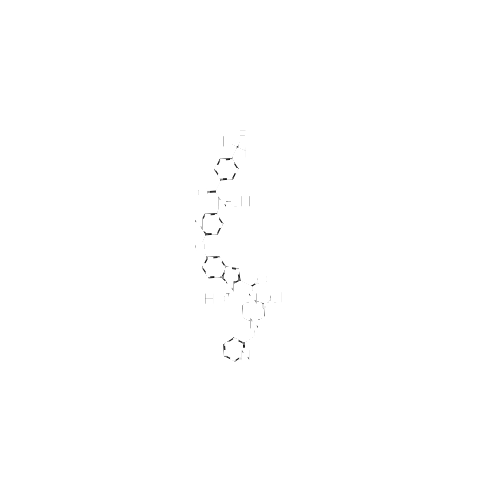 C[C@@H]1CN(Cc2ccccn2)CCN1C(=O)c1cc2cc(Oc3ccc(N(C)C(=O)c4ccc(C(F)(F)F)cc4)cn3)ccc2n1C